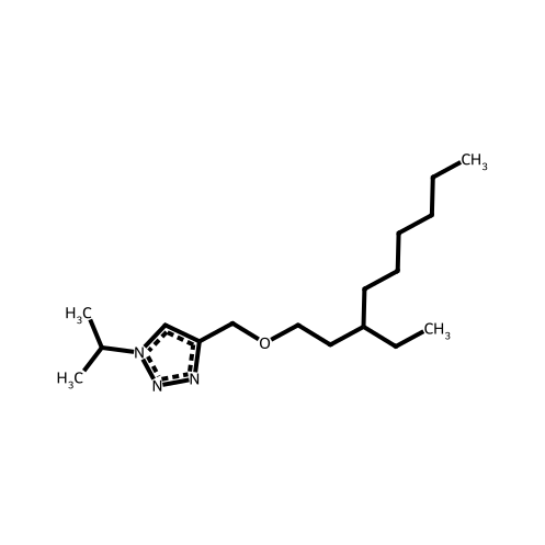 CCCCCCC(CC)CCOCc1cn(C(C)C)nn1